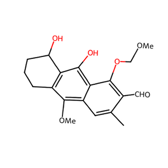 COCOc1c(C=O)c(C)cc2c(OC)c3c(c(O)c12)C(O)CCC3